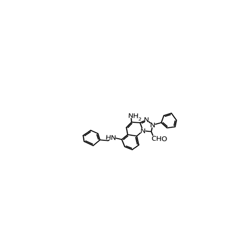 NC1=Cc2c(NCc3ccccc3)cccc2N2C1=NN(c1ccccc1)C2C=O